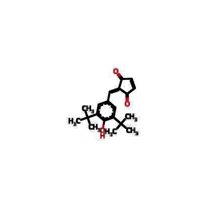 CC(C)(C)c1cc(C=C2C(=O)C=CC2=O)cc(C(C)(C)C)c1O